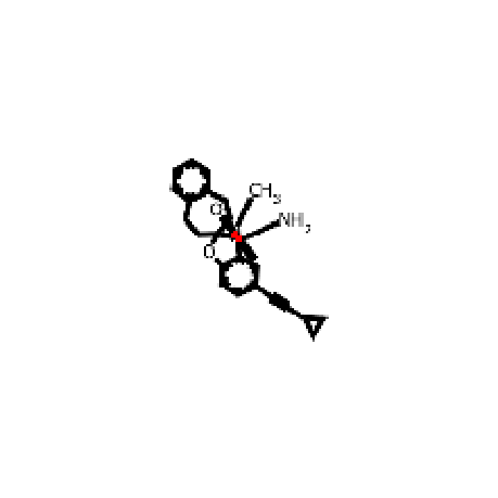 CN1C(=O)C2(N=C1N)c1cc(C#CC3CC3)ccc1OC21CCc2ccccc2CC1